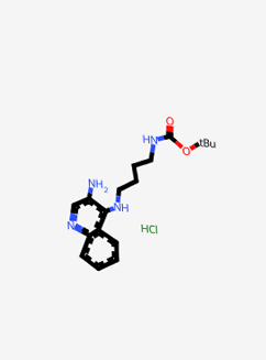 CC(C)(C)OC(=O)NCCCCNc1c(N)cnc2ccccc12.Cl